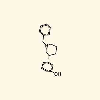 Oc1cccc([C@H]2CCCN(Cc3ccccc3)C2)c1